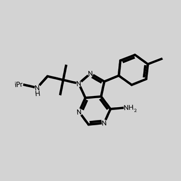 CC1=CCC(c2nn(C(C)(C)CNC(C)C)c3ncnc(N)c23)C=C1